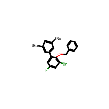 CC(C)(C)c1cc(-c2cc(F)cc(Br)c2OCc2ccccc2)cc(C(C)(C)C)c1